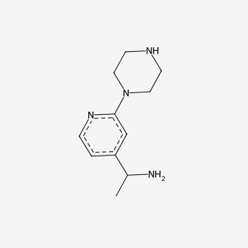 CC(N)c1ccnc(N2CCNCC2)c1